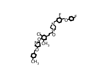 Cc1ccc(COc2ccc(Oc3c(C)cc(/C=C/C(=O)N4CCN(Cc5ccc(COc6ccc(F)cc6)c(F)c5)CC4)cc3Cl)nc2)cc1